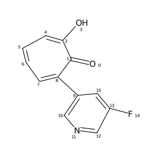 O=c1c(O)ccccc1-c1cncc(F)c1